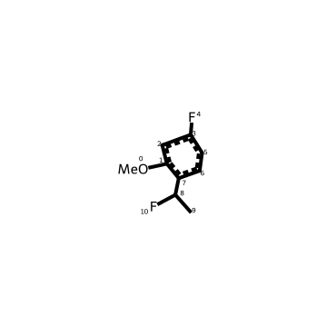 COc1cc(F)ccc1C(C)F